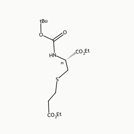 CCOC(=O)CCSC[C@H](NC(=O)OC(C)(C)C)C(=O)OCC